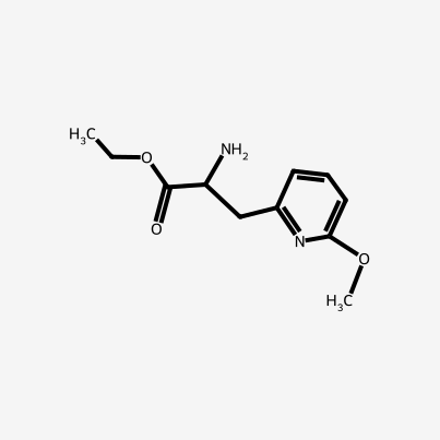 CCOC(=O)C(N)Cc1cccc(OC)n1